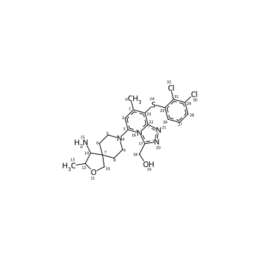 Cc1cc(N2CCC3(CC2)COC(C)C3N)n2c(CO)nnc2c1Sc1cccc(Cl)c1Cl